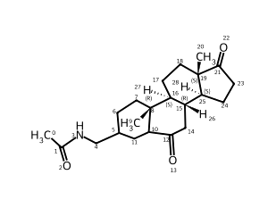 CC(=O)NCC1CC[C@@]2(C)C(C1)C(=O)C[C@@H]1[C@@H]2CC[C@]2(C)C(=O)CC[C@@H]12